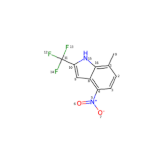 Cc1ccc([N+](=O)[O-])c2cc(C(F)(F)F)[nH]c12